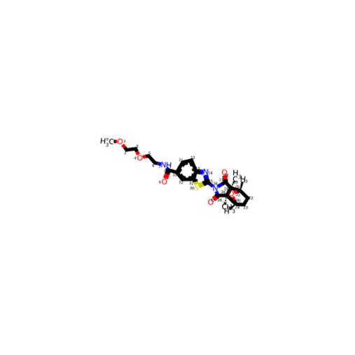 COCCOCCNC(=O)c1ccc2nc(N3C(=O)[C@@]4(C)[C@@H]5CC[C@@H](O5)[C@@]4(C)C3=O)sc2c1